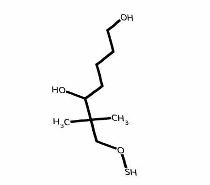 CC(C)(COS)C(O)CCCCO